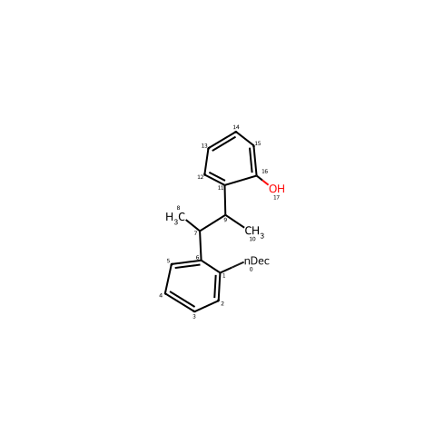 CCCCCCCCCCc1ccccc1C(C)C(C)c1ccccc1O